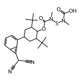 CN(SN(C)C(=O)OC1C(C(C)(C)C)CC(C2=CC=CC3C2=C3C(C#N)C#N)CC1C(C)(C)C)C(=O)O